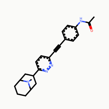 CC(=O)Nc1ccc(C#Cc2ccc(C3CC4CCCC(C3)N4C)nn2)cc1